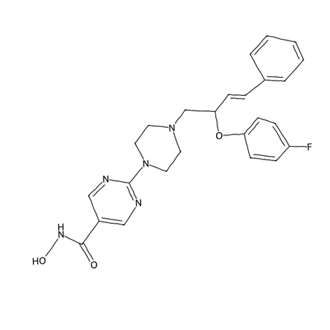 O=C(NO)c1cnc(N2CCN(CC(/C=C/c3ccccc3)Oc3ccc(F)cc3)CC2)nc1